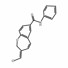 O=C(Nc1ccccc1)c1ccc2c(c1)C=CC(=CCl)CO2